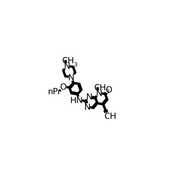 C#Cc1cc(=O)n(C)c2nc(Nc3ccc(N4CCN(C)CC4)c(OCCC)c3)ncc12